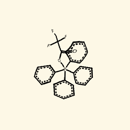 O=C(OP(c1ccccc1)(c1ccccc1)(c1ccccc1)c1ccccc1)C(F)(F)F